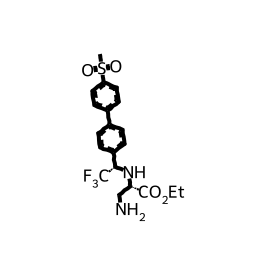 CCOC(=O)[C@H](CN)N[C@@H](c1ccc(-c2ccc(S(C)(=O)=O)cc2)cc1)C(F)(F)F